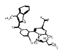 CCC(C)/C=N\N1C(C2CN(C(=O)c3oc4ccccc4c3C)CCC2C)=CC(C(F)F)=NC1C